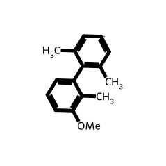 COc1cccc(-c2c(C)c[c]cc2C)c1C